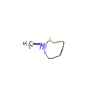 [CH2-][NH+]1CCCS1